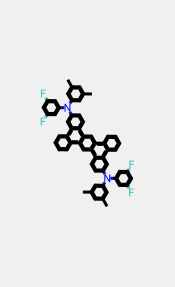 Cc1cc(C)cc(N(c2cc(F)cc(F)c2)c2ccc3c(c2)c2ccccc2c2cc4c5ccc(N(c6cc(C)cc(C)c6)c6cc(F)cc(F)c6)cc5c5ccccc5c4cc32)c1